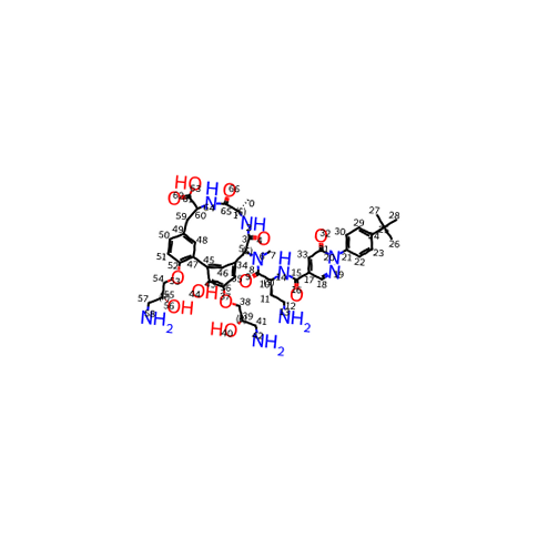 C[C@@H]1NC(=O)[C@@H](N(C)C(=O)[C@H](CCN)NC(=O)c2cnn(-c3ccc(C(C)(C)C)cc3)c(=O)c2)c2cc(OC[C@H](O)CN)c(O)c(c2)-c2cc(ccc2OC[C@H](O)CN)CC(C(=O)O)NC1=O